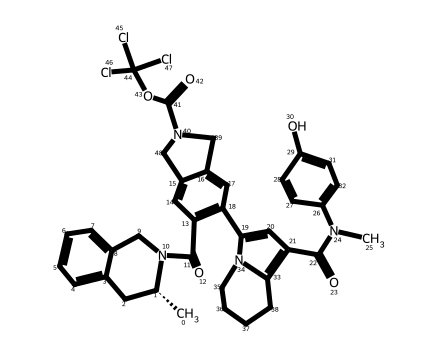 C[C@@H]1Cc2ccccc2CN1C(=O)c1cc2c(cc1-c1cc(C(=O)N(C)c3ccc(O)cc3)c3n1CCCC3)CN(C(=O)OC(Cl)(Cl)Cl)C2